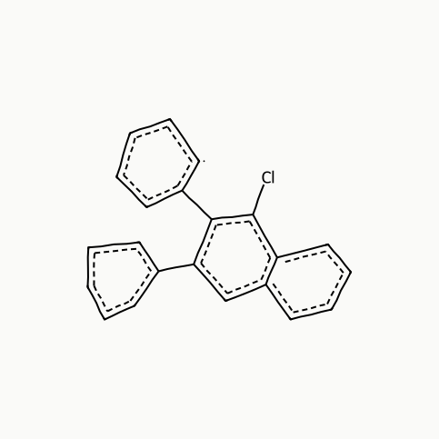 Clc1c(-c2[c]cccc2)c(-c2ccccc2)cc2ccccc12